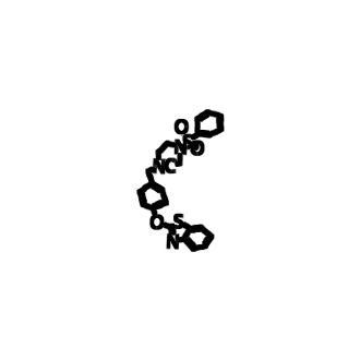 O=S(=O)(c1ccccc1)N1CCN(Cc2ccc(Oc3nc4ccccc4s3)cc2)CC1